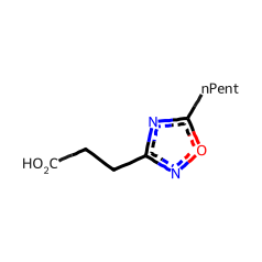 CCCCCc1nc(CCC(=O)O)no1